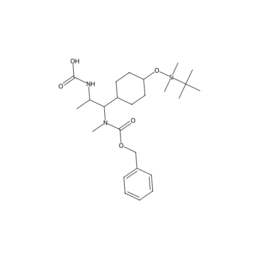 CC(NC(=O)O)C(C1CCC(O[Si](C)(C)C(C)(C)C)CC1)N(C)C(=O)OCc1ccccc1